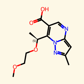 COCCO[C@@H](C)c1c(C(=O)O)cnc2cc(C)nn12